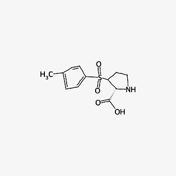 Cc1ccc(S(=O)(=O)C2CCN[C@@H]2C(=O)O)cc1